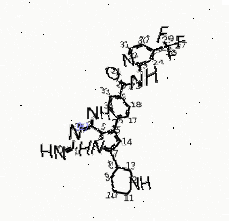 N=C/N=C(/N)c1[nH]c(C2CCCNC2)cc1-c1ccc(C(=O)Nc2cc(C(F)(F)F)ccn2)cc1